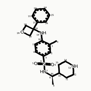 Cc1cc(S(=O)(=O)N[C@H](C)C2CCNCC2)ccc1NC1(c2ccccc2)COC1